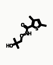 Cc1cc(C)c(C(=O)NOCC(C)(C)O)s1